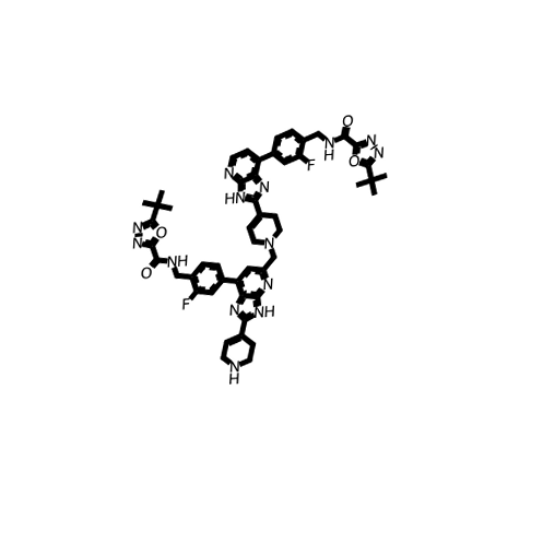 CC(C)(C)c1nnc(C(=O)NCc2ccc(-c3ccnc4[nH]c(C5=CCN(Cc6cc(-c7ccc(CNC(=O)c8nnc(C(C)(C)C)o8)c(F)c7)c7nc(C8=CCNCC8)[nH]c7n6)CC5)nc34)cc2F)o1